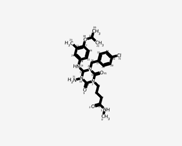 CNC(=O)CCCN1C(=O)N(N)C(Nc2ccc(OC(C)C)c(C)c2)N(Cc2ccc(Cl)cc2)C1=O